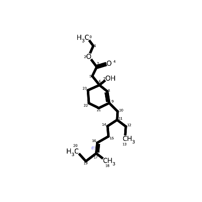 CCOC(=O)CC1(O)C=C(CC(CC)CC/C=C(\C)CC)CCC1